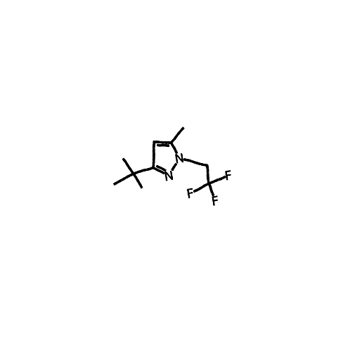 Cc1cc(C(C)(C)C)nn1CC(F)(F)F